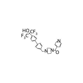 O=C(c1ccncc1)N1CCN(Cc2ccc(-c3ccc(C(O)(C(F)(F)F)C(F)(F)F)cc3)cc2)CC1